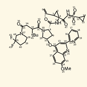 C=CC1C[C@]1(NC(=O)[C@@H]1C[C@@H](Oc2cc(-c3ccccn3)nc3cc(OC)ccc23)CN1C(=O)C(CC(=O)N1CCCC(F)(F)C1)C(C)(C)C)C(=O)NS(=O)(=O)C1CC1